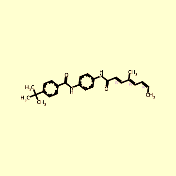 C\C=C/C=C(C)/C=C/C(=O)Nc1ccc(NC(=O)c2ccc(C(C)(C)C)cc2)cc1